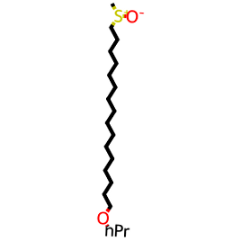 CCCOCCCCCCCCCCCCCCCC[S+](C)[O-]